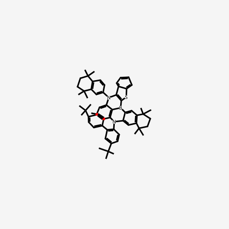 Cc1cc2c3c(c1)N(c1ccc4c(c1)C(C)(C)CCC4(C)C)c1c(sc4ccccc14)B3c1cc3c(cc1N2c1ccc(C(C)(C)C)cc1-c1ccc(C(C)(C)C)cc1)C(C)(C)CCC3(C)C